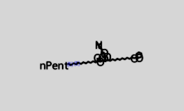 CCCCC/C=C/C/C=C/CCCCCCCC(=O)OCCC(CCCCCCCCCCOC1CCCCO1)OC(=O)OCCCN(C)C